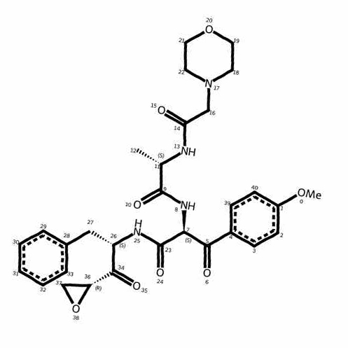 COc1ccc(C(=O)[C@H](NC(=O)[C@H](C)NC(=O)CN2CCOCC2)C(=O)N[C@@H](Cc2ccccc2)C(=O)[C@H]2CO2)cc1